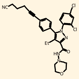 CCc1c(C(=O)NN2CCOCC2)nn(-c2ccc(Cl)cc2Cl)c1-c1ccc(C#CCCCC#N)cc1